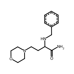 NC(=O)C(CCN1CCOCC1)NCc1ccccc1